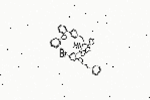 COC(=O)[C@H](Cc1ccc(-c2ccccc2Oc2ccccc2)cc1)NC(=O)c1cc(Br)ccc1OCC=Cc1ccccc1